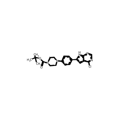 CC(C)(C)OC(=O)N1CCN(c2ccc(-c3cc4c(Cl)ncnc4[nH]3)cc2)CC1